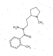 Cc1ccccc1C(=O)N(N)CCC1CCCN1C